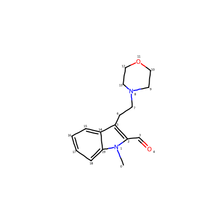 Cn1c(C=O)c(CCN2CCOCC2)c2ccccc21